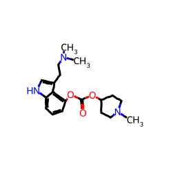 CN(C)CCc1c[nH]c2cccc(OC(=O)OC3CCN(C)CC3)c12